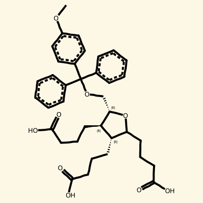 COc1ccc(C(OC[C@@H]2OC(CCCC(=O)O)[C@H](CCCC(=O)O)[C@H]2CCCC(=O)O)(c2ccccc2)c2ccccc2)cc1